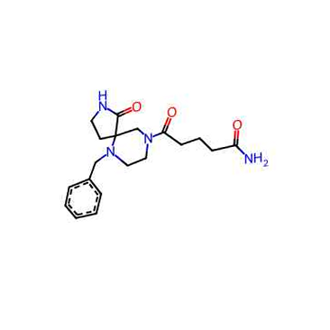 NC(=O)CCCC(=O)N1CCN(Cc2ccccc2)C2(CCNC2=O)C1